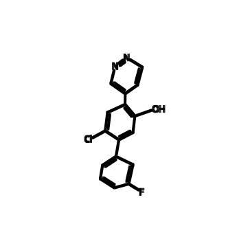 Oc1cc(-c2cccc(F)c2)c(Cl)cc1-c1ccnnc1